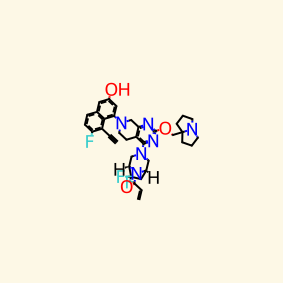 C#Cc1c(F)ccc2cc(O)cc(N3CCc4c(nc(OCC56CCCN5CCC6)nc4N4C[C@@H]5CC(F)(F)[C@H](C4)N5C(=O)C=C)C3)c12